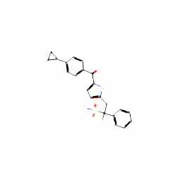 CC(Cc1ccc(C(=O)c2ccc(C3CC3)cc2)[nH]1)(c1ccccc1)S(N)(=O)=O